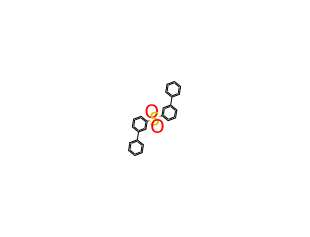 O=S(=O)(c1cccc(-c2ccccc2)c1)c1cccc(-c2ccccc2)c1